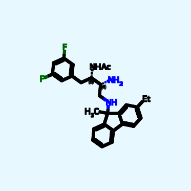 CCc1ccc2c(c1)C(C)(NC[C@@H](N)[C@H](Cc1cc(F)cc(F)c1)NC(C)=O)c1ccccc1-2